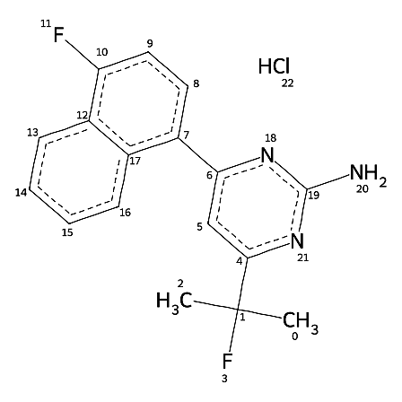 CC(C)(F)c1cc(-c2ccc(F)c3ccccc23)nc(N)n1.Cl